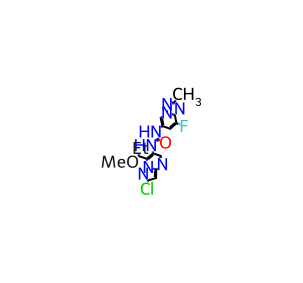 CCC(OC)c1c(NC(=O)Nc2cc(F)c3nc(C)nn3c2)cnc2cc(Cl)nn12